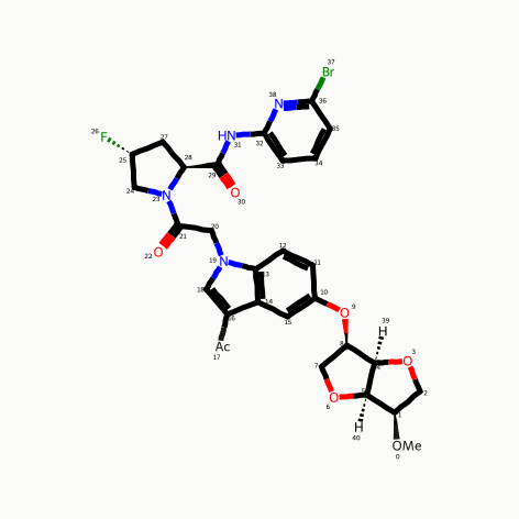 CO[C@@H]1CO[C@H]2[C@@H]1OC[C@H]2Oc1ccc2c(c1)c(C(C)=O)cn2CC(=O)N1C[C@H](F)C[C@H]1C(=O)Nc1cccc(Br)n1